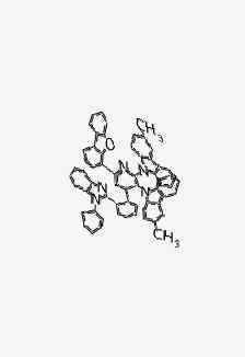 Cc1ccc2c(c1)c1ccccc1n2-c1nc(-c2cccc3c2oc2ccccc23)cc(-c2ccccc2-c2nc3ccccc3n2-c2ccccc2)c1-n1c2ccccc2c2cc(C)ccc21